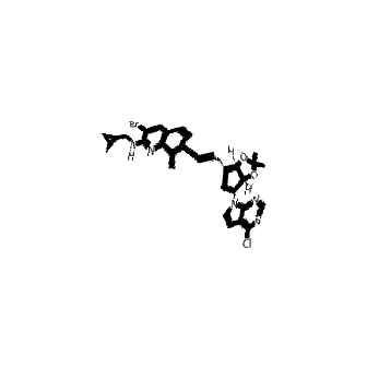 CC1c2nc(NCC3CC3)c(Br)cc2C=CC1CC[C@H]1C[C@@H](n2ccc3c(Cl)ncnc32)[C@@H]2OC(C)(C)O[C@H]12